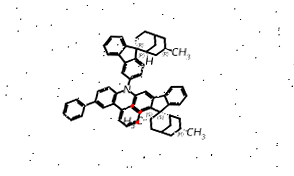 C[C@@H]1CC2CC(C1)[C@]1(c3ccccc3-c3cc(N(c4ccc5c(c4)-c4ccccc4[C@]54CCC5C[C@@H](C)C[C@@H]4C5)c4ccc(-c5ccccc5)cc4-c4ccccc4)ccc31)[C@@H](C)C2